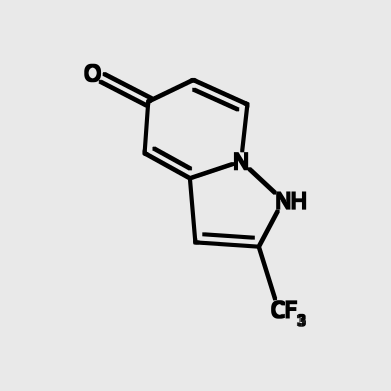 O=c1ccn2[nH]c(C(F)(F)F)cc2c1